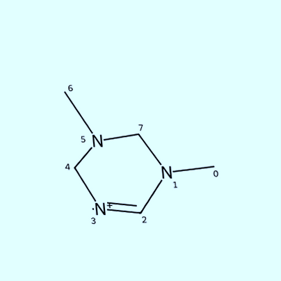 CN1C=[N+]CN(C)C1